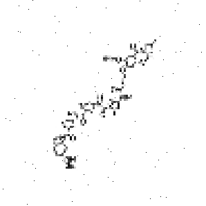 C=C1CN2C(=O)c3cc(OC)c(OCCCC(=O)Nc4cn(C)c(C(=O)Nc5cc(C(=O)Nc6cc(C(=O)n7ccc8ccc(NC(C)(C)C)cc87)n(C)c6)n(C)c5)n4)cc3N=C[C@]2(C)C1